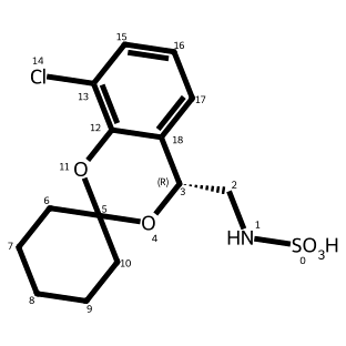 O=S(=O)(O)NC[C@@H]1OC2(CCCCC2)Oc2c(Cl)cccc21